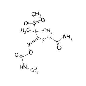 CNC(=O)ON=C(SCC(N)=O)C(C)(C)S(C)(=O)=O